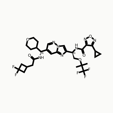 CC(C)(OC[C@H](NC(=O)c1nonc1C1CC1)c1cn2ncc([C@H](NC(=O)CC3CC(F)(F)C3)C3CCOCC3)cc2n1)C(F)(F)F